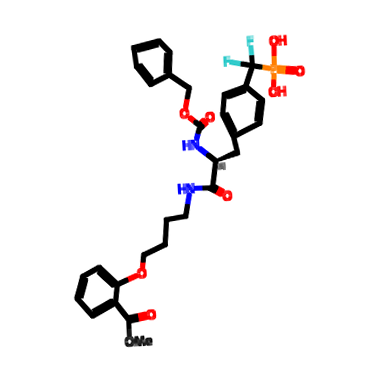 COC(=O)c1ccccc1OCCCCNC(=O)[C@H](Cc1ccc(C(F)(F)P(=O)(O)O)cc1)NC(=O)OCc1ccccc1